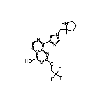 CC1(Cn2cnc(-c3nccc4c(O)nc(OCC(F)(F)F)nc34)c2)CCCN1